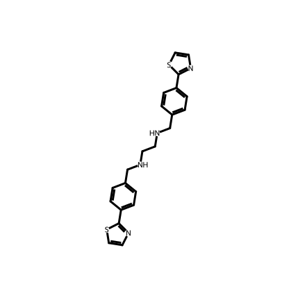 c1csc(-c2ccc(CNCCNCc3ccc(-c4nccs4)cc3)cc2)n1